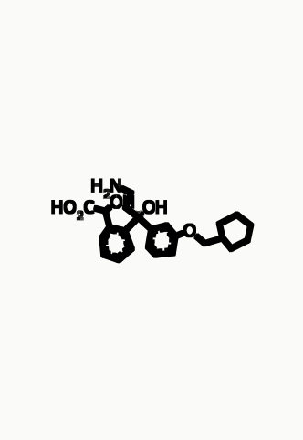 NCC[C@@](O)(c1cccc(OCC2CCCCC2)c1)c1ccccc1C(O)C(=O)O